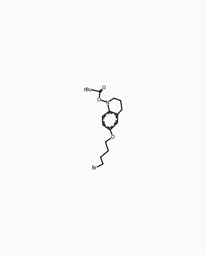 CC(C)(C)C(=O)ON1CCCc2cc(OCCCCBr)ccc21